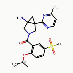 CCS(=O)(=O)c1ccc(O[C@@H](C)C(F)(F)F)c(C(=O)N2CC3(N)CC3(c3nccc(C(F)(F)F)n3)C2)c1